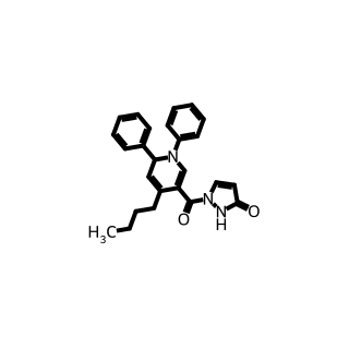 CCCCC1=CC(c2ccccc2)N(c2ccccc2)C=C1C(=O)n1ccc(=O)[nH]1